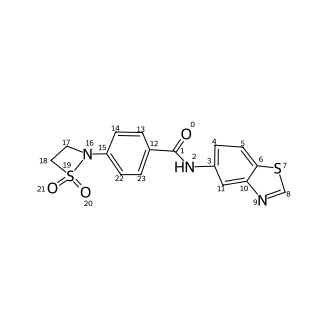 O=C(Nc1ccc2scnc2c1)c1ccc(N2CCS2(=O)=O)cc1